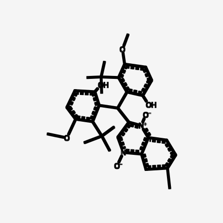 COc1ccc(O)c(C(c2c(O)ccc(OC)c2C(C)(C)C)c2c[n+]([O-])c3cc(C)ccc3[n+]2[O-])c1C(C)(C)C